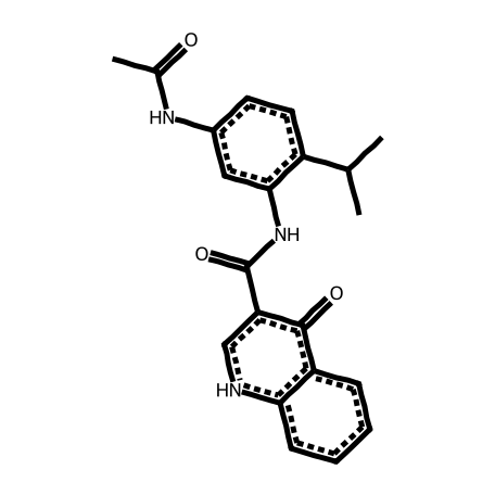 CC(=O)Nc1ccc(C(C)C)c(NC(=O)c2c[nH]c3ccccc3c2=O)c1